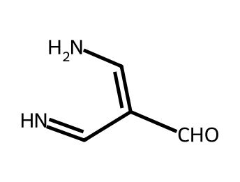 N=C/C(C=O)=C\N